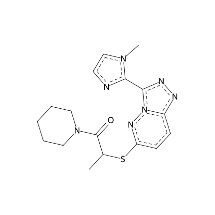 CC(Sc1ccc2nnc(-c3nccn3C)n2n1)C(=O)N1CCCCC1